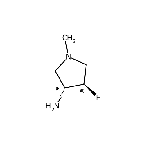 CN1C[C@@H](N)[C@H](F)C1